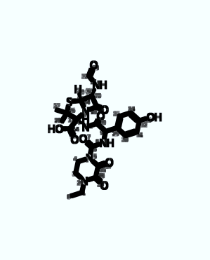 CCN1CCN(C(=O)NC(C(=O)N[C@@]2(C(=O)O)N3C(=O)[C@H](NC=O)[C@H]3SC2(C)C)c2ccc(O)cc2)C(=O)C1=O